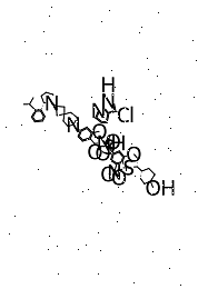 CC(C)c1ccccc1[C@@H]1CCCN1C1CC2(CCN(c3ccc(C(=O)NS(=O)(=O)c4cc5c(c([N+](=O)[O-])c4)S[C@@H]([C@H]4CC[C@](C)(O)CC4)CO5)c(Oc4cnc5[nH]cc(Cl)c5c4)c3)CC2)C1